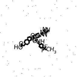 CCC(F)(F)c1ccc(CNC(=O)[C@H]2CN(c3cnc4cncnc4n3)CCN2S(=O)(=O)c2ccc3c(c2)CCC(CC(=O)O)CC3)cc1